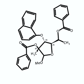 COC1O[C@H](C(C)OC(=O)c2ccccc2)[C@@H](Oc2cccc3ccccc23)[C@@]1(C)OC(=O)c1ccccc1